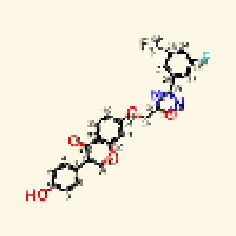 O=c1c(-c2ccc(O)cc2)coc2cc(OCc3nc(-c4cc(F)cc(C(F)(F)F)c4)no3)ccc12